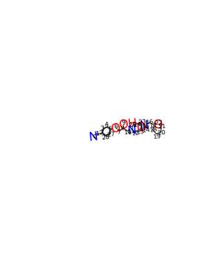 N#Cc1ccc(OCC(O)CN2CC3CN(CC4CCCCO4)CC(C2)O3)cc1